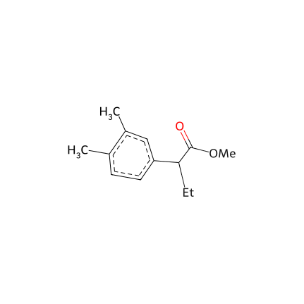 CCC(C(=O)OC)c1ccc(C)c(C)c1